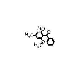 COc1cc(C)cc(O)c1C(=O)c1ccccc1